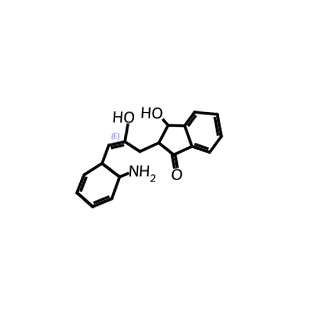 NC1C=CC=CC1/C=C(/O)CC1C(=O)c2ccccc2C1O